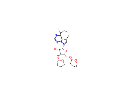 O[C@H]1[C@H](OC2CCCCO2)[C@@H](COC2CCCCO2)O[C@H]1n1cc2c3c(ncnc31)C(=S)CCC2